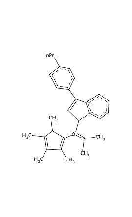 CCCc1ccc(C2=C[CH]([Zr]([C]3=C(C)C(C)=C(C)C3C)=[Si](C)C)c3ccccc32)cc1